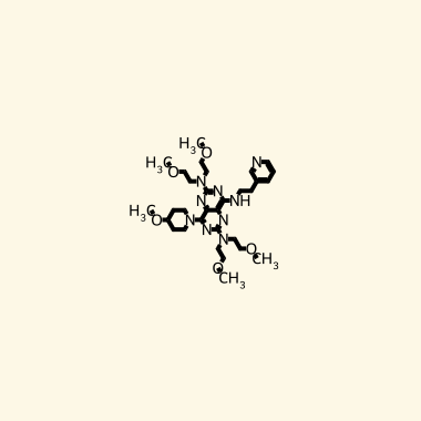 COCCN(CCOC)c1nc(N2CCC(OC)CC2)c2nc(N(CCOC)CCOC)nc(NCCc3cccnc3)c2n1